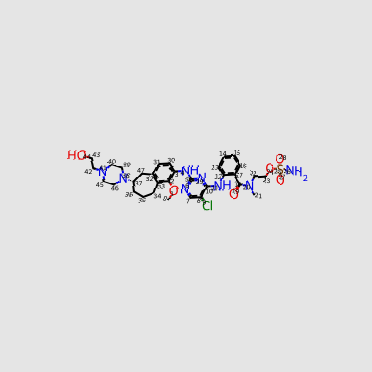 COc1c(Nc2ncc(Cl)c(Nc3ccccc3C(=O)N(C)CCOS(N)(=O)=O)n2)ccc2c1CCC[C@H](N1CCN(CCO)CC1)C2